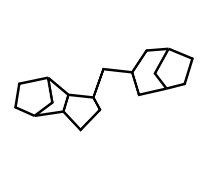 C1CC2CC1CC(CC1CCC3C4CCC(C4)C13)C2